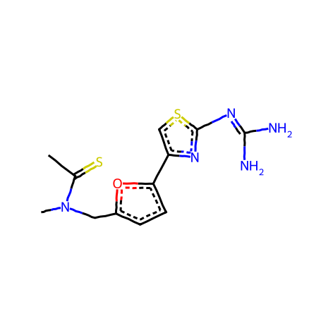 CC(=S)N(C)Cc1ccc(-c2csc(N=C(N)N)n2)o1